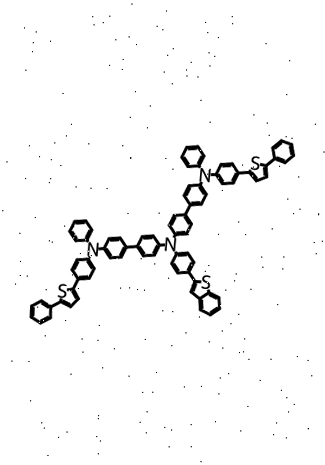 c1ccc(-c2ccc(-c3ccc(N(c4ccccc4)c4ccc(-c5ccc(N(c6ccc(-c7ccc(N(c8ccccc8)c8ccc(-c9ccc(-c%10ccccc%10)s9)cc8)cc7)cc6)c6ccc(-c7cc8ccccc8s7)cc6)cc5)cc4)cc3)s2)cc1